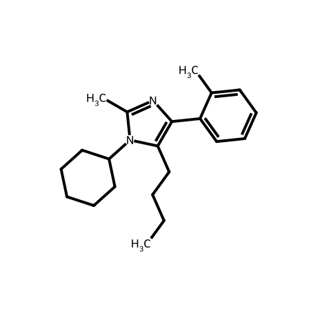 CCCCc1c(-c2ccccc2C)nc(C)n1C1CCCCC1